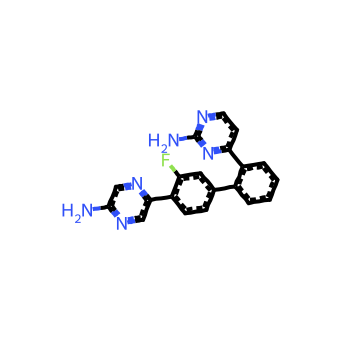 Nc1cnc(-c2ccc(-c3ccccc3-c3ccnc(N)n3)cc2F)cn1